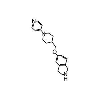 c1cc(N2CCC(COc3ccc4c(c3)CCNC4)CC2)ccn1